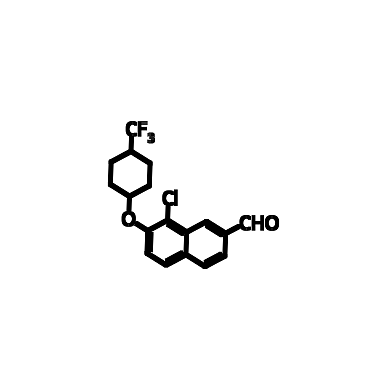 O=Cc1ccc2ccc(OC3CCC(C(F)(F)F)CC3)c(Cl)c2c1